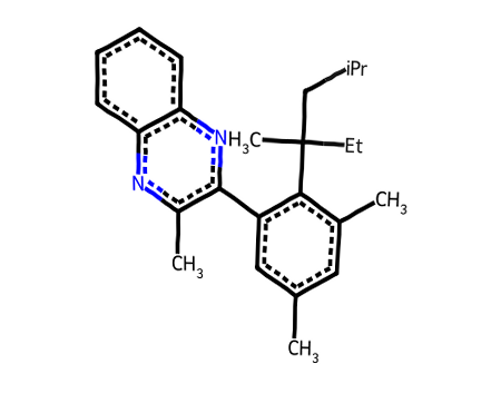 CCC(C)(CC(C)C)c1c(C)cc(C)cc1-c1nc2ccccc2nc1C